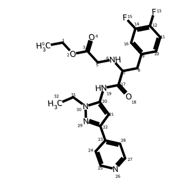 CCOC(=O)CNC(Cc1ccc(F)c(F)c1)C(=O)Nc1cc(-c2ccncc2)nn1CC